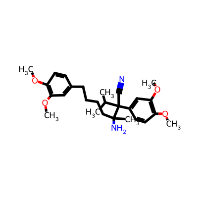 COc1ccc(CCCCC(C)(N)C(C#N)(c2ccc(OC)c(OC)c2)C(C)C)cc1OC